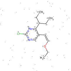 CCO/C=C\c1cnc(Cl)nc1[C](CC)CC